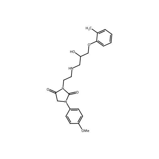 COc1ccc(N2CC(=O)N(CCNCC(O)COc3ccccc3C)C2=O)cc1